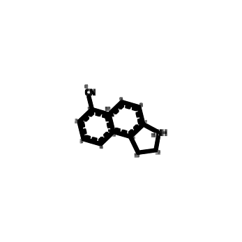 N#Cc1cccc2c3c(ccc12)NCC3